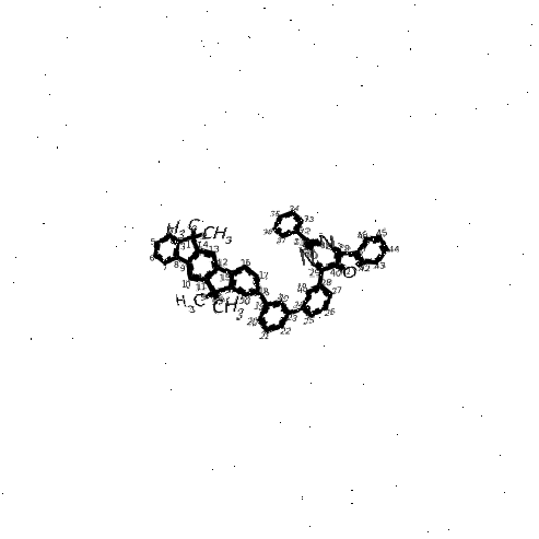 CC1(C)c2ccccc2-c2cc3c(cc21)-c1ccc(-c2cccc(-c4cccc(-c5nc(-c6ccccc6)nc6c5oc5ccccc56)c4)c2)cc1C3(C)C